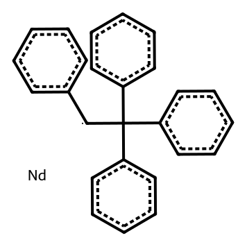 [CH](c1ccccc1)C(c1ccccc1)(c1ccccc1)c1ccccc1.[Nd]